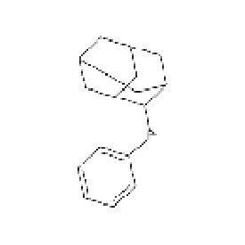 c1ccc([P]C2C3CC4CC(C3)CC2C4)cc1